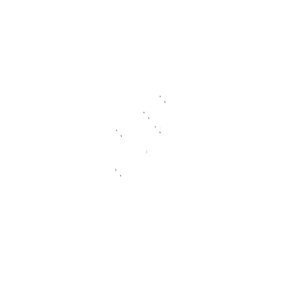 c1ccc2c(c1)nnn2[O+]=C(N1CCCCC1)N1CCCCC1